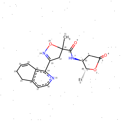 CC[C@H]1OC(=O)C[C@@H]1NC(=O)C1(C)CC(c2nccc3c2C=CCC3)=NO1